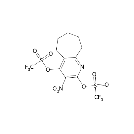 O=[N+]([O-])c1c(OS(=O)(=O)C(F)(F)F)nc2c(c1OS(=O)(=O)C(F)(F)F)CCCCC2